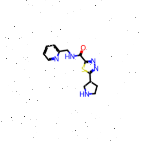 O=C(NCc1ccccn1)c1nnc(C2CCNC2)s1